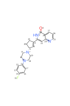 O=c1[nH]c(C2=C[C@H](N3CCN(c4ccc(F)cc4)CC3)CC2)cc2ncccc12